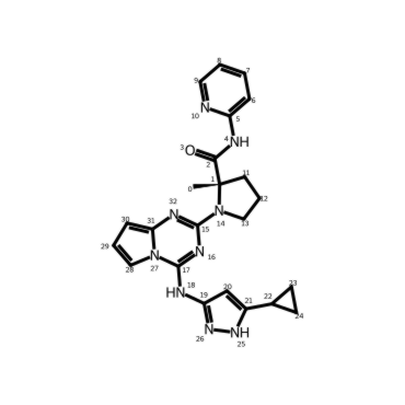 C[C@@]1(C(=O)Nc2ccccn2)CCCN1c1nc(Nc2cc(C3CC3)[nH]n2)n2cccc2n1